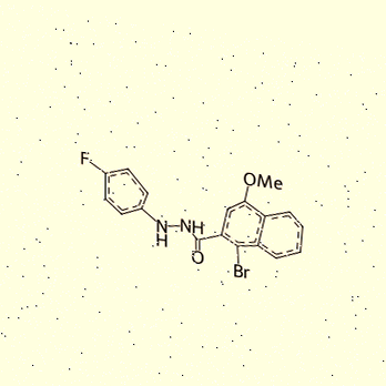 COc1cc(C(=O)NNc2ccc(F)cc2)c(Br)c2ccccc12